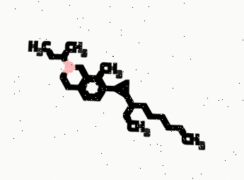 CCCCCCC(CC)C1CC1c1ccc2c(c1C)CB(C(C)CC)CC2